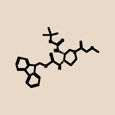 COCC(=S)N1CC[C@H](NC(=O)OCC2c3ccccc3-c3ccccc32)[C@H](NC(=O)OC(C)(C)C)C1